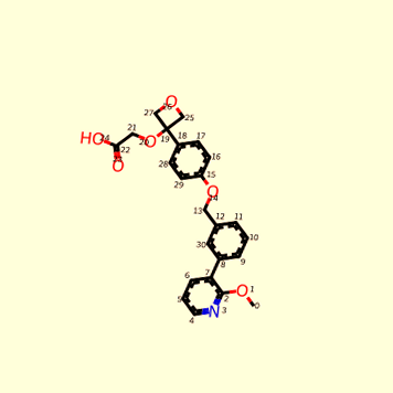 COc1ncccc1-c1cccc(COc2ccc(C3(OCC(=O)O)COC3)cc2)c1